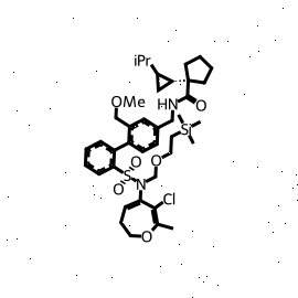 COCc1cc(CNC(=O)C2([C@@H]3CC3C(C)C)CCCC2)ccc1-c1ccccc1S(=O)(=O)N(COCC[Si](C)(C)C)C1=CCCOC(C)=C1Cl